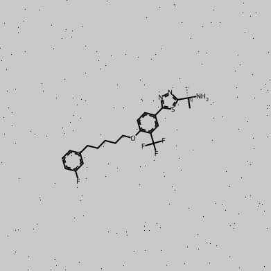 [CH2][C@@](C)(N)c1nnc(-c2ccc(OCCCCCc3cccc(F)c3)c(C(F)(F)F)c2)s1